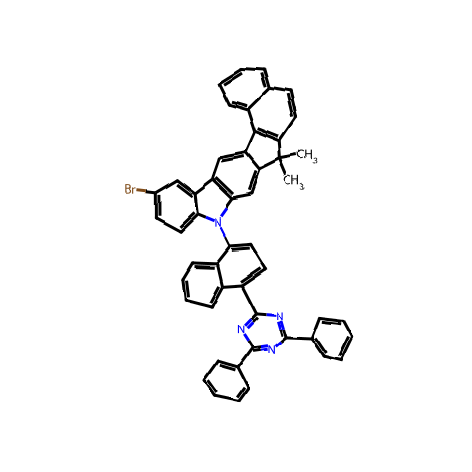 CC1(C)c2cc3c(cc2-c2c1ccc1ccccc21)c1cc(Br)ccc1n3-c1ccc(-c2nc(-c3ccccc3)nc(-c3ccccc3)n2)c2ccccc12